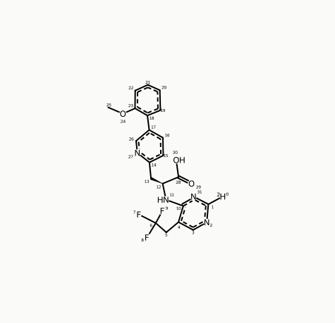 [2H]c1ncc(CC(F)(F)F)c(N[C@@H](Cc2ccc(-c3ccccc3OC)cn2)C(=O)O)n1